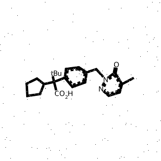 Cc1ccnn(Cc2ccc(C(C(=O)O)(C3CCCC3)C(C)(C)C)cc2)c1=O